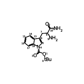 CC(C)(C)OC(=O)n1cc(C[C@H](N)C(N)=O)c2ccccc21